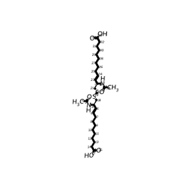 CC(=O)N[C@H](/C=C/CCCCCCCCC(=O)O)CSSC[C@@H](/C=C/CCCCCCCCC(=O)O)NC(C)=O